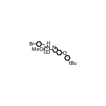 COC(=O)[C@H](Cc1ccc(Br)cc1)NC(=O)c1cc2ccc(Oc3ccc(C(C)(C)C)cc3)cc2cn1